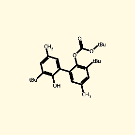 Cc1cc(-c2cc(C)cc(C(C)(C)C)c2OC(=O)OC(C)(C)C)c(O)c(C(C)(C)C)c1